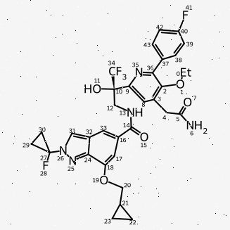 CCOc1c(CC(N)=O)cc([C@@](O)(CNC(=O)c2cc(OCC3CC3)c3nn(C4(F)CC4)cc3c2)C(F)(F)F)nc1-c1ccc(F)cc1